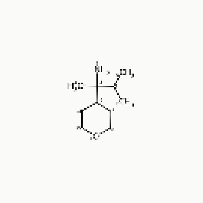 CC(C)C(C)(N)C1CCOCC1